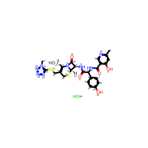 Cc1cc(O)c(C(=O)NC(C(=O)N[C@@H]2C(=O)N3C(C(=O)O)=C(CSc4nnnn4C)CS[C@H]23)c2ccc(O)cc2)cn1.Cl